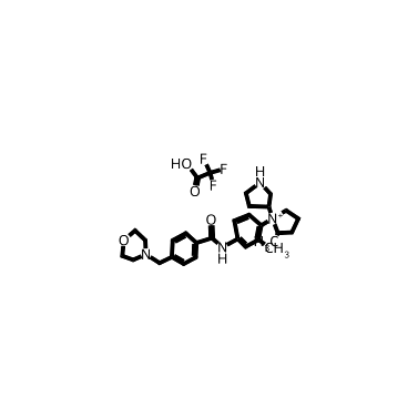 Cc1cc(NC(=O)c2ccc(CN3CCOCC3)cc2)ccc1[N+]1(C2CCNC2)CCCC1C.O=C(O)C(F)(F)F